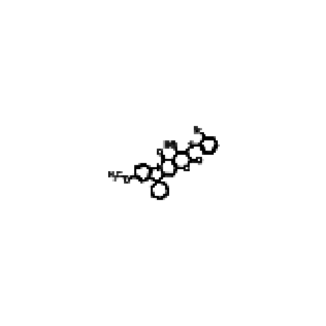 COc1ccc2c(c1)C1(CCCCC1)c1cc3oc(=O)c(Sc4ccccc4Br)c(O)c3c(=O)n1-2